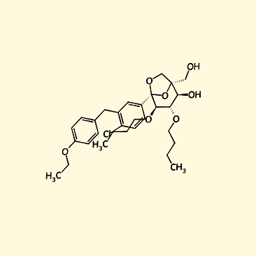 CCCCO[C@@H]1[C@@H](OCCCC)[C@@]2(c3ccc(Cl)c(Cc4ccc(OCC)cc4)c3)OC[C@](CO)(O2)[C@H]1O